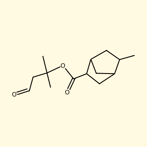 CC1CC2CC1CC2C(=O)OC(C)(C)CC=O